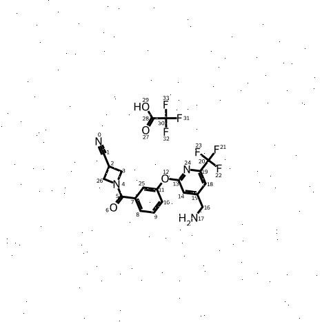 N#CC1CN(C(=O)c2cccc(Oc3cc(CN)cc(C(F)(F)F)n3)c2)C1.O=C(O)C(F)(F)F